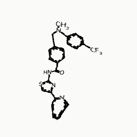 CN(Cc1ccc(C(=O)Nc2nc(-c3ccccn3)cs2)cc1)c1ccc(C(F)(F)F)cc1